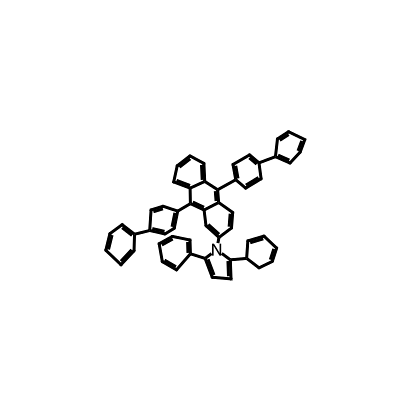 C1=CCC(c2ccc(-c3ccccc3)n2-c2ccc3c(-c4ccc(-c5ccccc5)cc4)c4ccccc4c(-c4ccc(-c5ccccc5)cc4)c3c2)C=C1